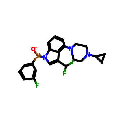 [O-][S+](c1cccc(F)c1)n1cc(C(F)F)c2c(N3CCN(C4CC4)CC3)cccc21